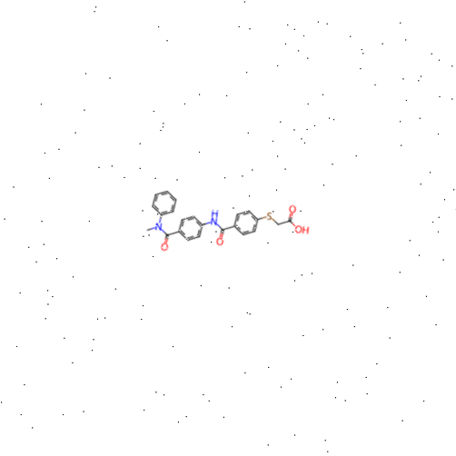 CN(C(=O)c1ccc(NC(=O)c2ccc(SCC(=O)O)cc2)cc1)c1ccccc1